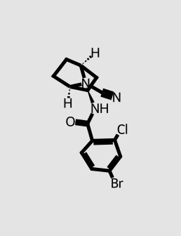 N#CN1[C@H]2CC[C@@H]1[C@H](NC(=O)c1ccc(Br)cc1Cl)C2